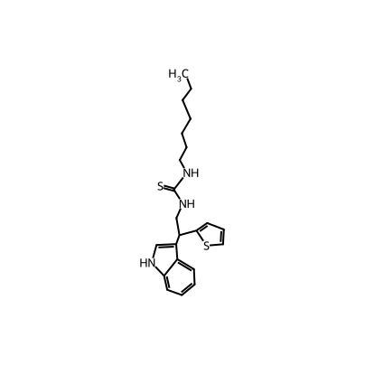 CCCCCCCNC(=S)NCC(c1cccs1)c1c[nH]c2ccccc12